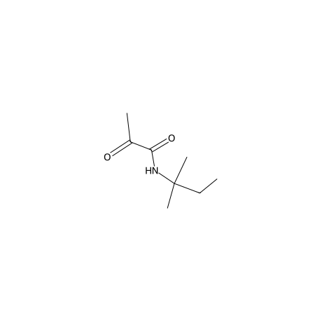 CCC(C)(C)NC(=O)C(C)=O